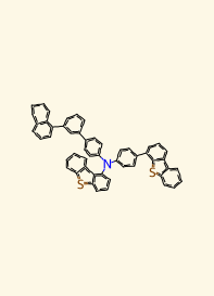 c1cc(-c2ccc(N(c3ccc(-c4cccc5c4sc4ccccc45)cc3)c3cccc4sc5ccccc5c34)cc2)cc(-c2cccc3ccccc23)c1